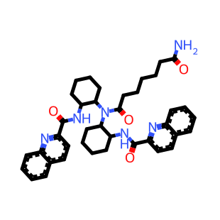 NC(=O)CCCCCC(=O)N(C1CCCCC1NC(=O)c1ccc2ccccc2n1)C1CCCCC1NC(=O)c1ccc2ccccc2n1